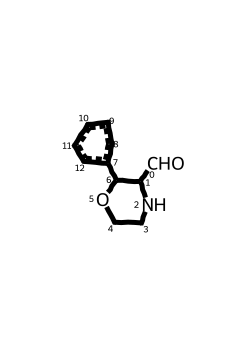 O=CC1NCCOC1c1ccccc1